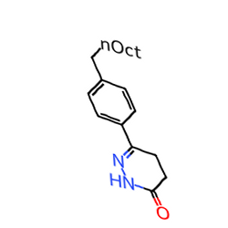 CCCCCCCCCc1ccc(C2=NNC(=O)CC2)cc1